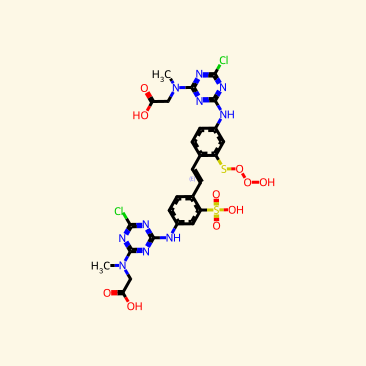 CN(CC(=O)O)c1nc(Cl)nc(Nc2ccc(/C=C/c3ccc(Nc4nc(Cl)nc(N(C)CC(=O)O)n4)cc3S(=O)(=O)O)c(SOOO)c2)n1